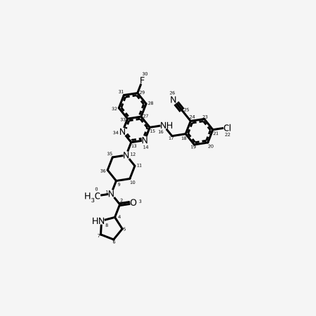 CN(C(=O)C1CCCN1)C1CCN(c2nc(NCc3ccc(Cl)cc3C#N)c3cc(F)ccc3n2)CC1